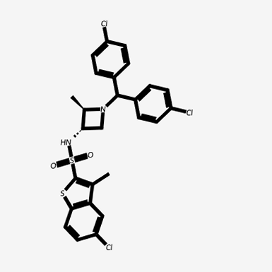 Cc1c(S(=O)(=O)N[C@H]2CN(C(c3ccc(Cl)cc3)c3ccc(Cl)cc3)[C@@H]2C)sc2ccc(Cl)cc12